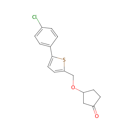 O=C1CCC(OCc2ccc(-c3ccc(Cl)cc3)s2)C1